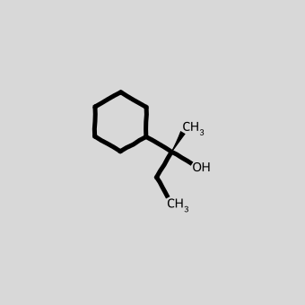 CC[C@@](C)(O)C1CCCCC1